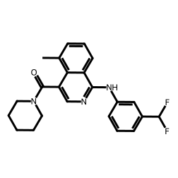 Cc1cccc2c(Nc3cccc(C(F)F)c3)ncc(C(=O)N3CCCCC3)c12